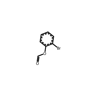 O=COc1ccccc1Br